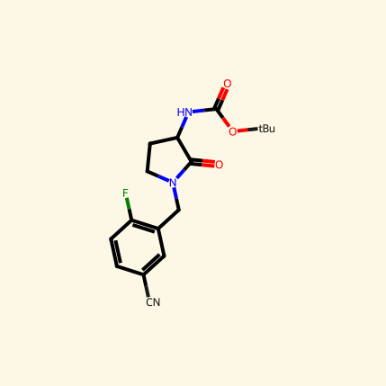 CC(C)(C)OC(=O)NC1CCN(Cc2cc(C#N)ccc2F)C1=O